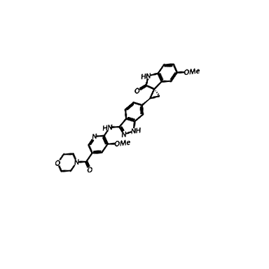 COc1ccc2c(c1)[C@]1(C[C@H]1c1ccc3c(Nc4ncc(C(=O)N5CCOCC5)cc4OC)n[nH]c3c1)C(=O)N2